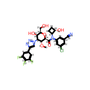 CO[C@@H]1[C@@H](n2cc(-c3cc(F)c(F)c(F)c3)nn2)[C@@H](O)[C@@H](CO)O[C@H]1C(=O)N(c1cc(Cl)cc(C#N)c1)[C@H]1CC[C@@H]1O